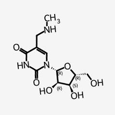 CNCc1cn([C@@H]2O[C@H](CO)[C@@H](O)[C@H]2O)c(=O)[nH]c1=O